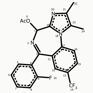 CC(=O)OC1N=C(c2ccccc2F)c2cc(C(F)(F)F)ccc2-n2c1nc(C)c2C